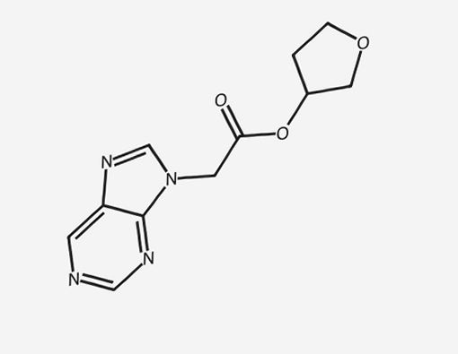 O=C(Cn1cnc2cncnc21)OC1CCOC1